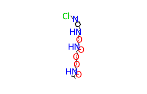 C=C(C)C(=O)NCCOCCOCCC(=O)NCCOCCNCc1ccc(N(C)CCCl)cc1